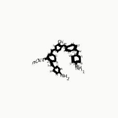 CCCCCCCCc1cc(Cc2ccc(Cc3ccc(Cc4ccc(N)cc4)cc3)c(C)c2)ccc1Cc1ccc(N)cc1